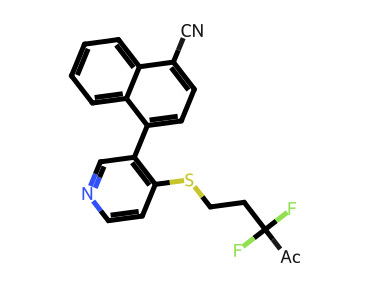 CC(=O)C(F)(F)CCSc1ccncc1-c1ccc(C#N)c2ccccc12